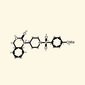 COc1ccc(S(=O)(=O)N2CCC(N3C(=O)OCc4ccccc43)CC2)cc1